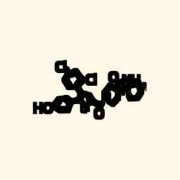 Cn1c(C(=O)N2CCC(C(N)=O)(N3CCCCC3)CC2)cc(-c2ccc(Cl)cc2Cl)c1-c1ccc(O)cc1